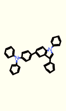 c1ccc(-c2cn(-c3ccccc3)c3ccc(-c4ccc(N(c5ccccc5)c5ccccc5)cc4)cc23)cc1